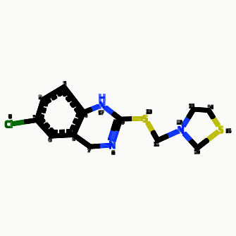 Clc1ccc2c(c1)CN=C(SCN1CCSC1)N2